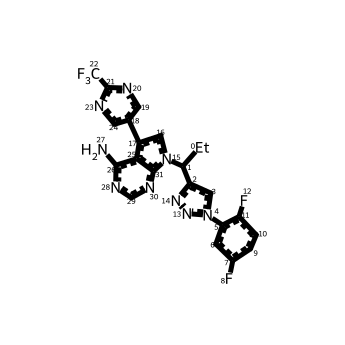 CCC(c1cn(-c2cc(F)ccc2F)nn1)n1cc(-c2cnc(C(F)(F)F)nc2)c2c(N)ncnc21